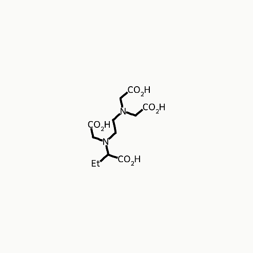 CCC(C(=O)O)N(CCN(CC(=O)O)CC(=O)O)CC(=O)O